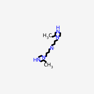 CCC1CNCCN1CCCC[N]CCCCN1CCNCC1CC